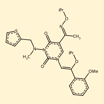 COc1ccccc1/C(=C/n1cc(/C(C)=N/OC(C)C)c(=O)n(N(C)Cc2cccs2)c1=O)OC(C)C